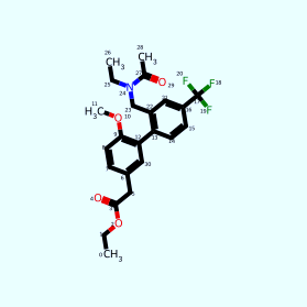 CCOC(=O)Cc1ccc(OC)c(-c2ccc(C(F)(F)F)cc2CN(CC)C(C)=O)c1